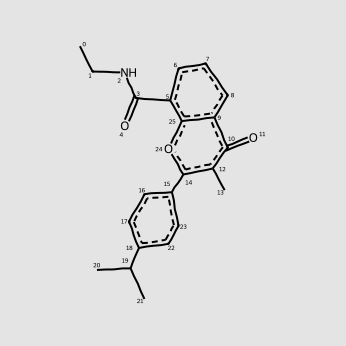 CCNC(=O)c1cccc2c(=O)c(C)c(-c3ccc(C(C)C)cc3)oc12